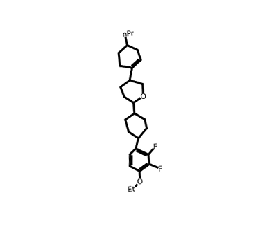 CCCC1CC=C(C2CCC(C3CCC(c4ccc(OCC)c(F)c4F)CC3)OC2)CC1